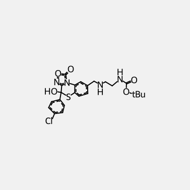 CC(C)(C)OC(=O)NCCNCc1ccc2c(c1)-n1c(noc1=O)C(O)(c1ccc(Cl)cc1)S2